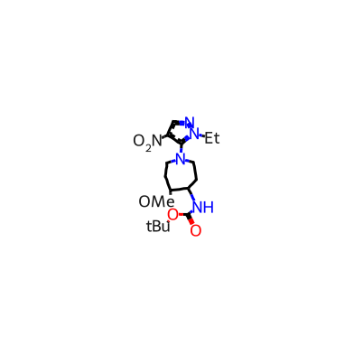 CCn1ncc([N+](=O)[O-])c1N1CCC(NC(=O)OC(C)(C)C)C(OC)CC1